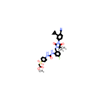 COC(=O)CS(=O)(=O)c1ccc(NC(=O)Nc2cc(F)ccc2CN2C(=O)N(c3ccc(C#N)c(C4CC4)c3)C(=O)C2(C)C)cc1